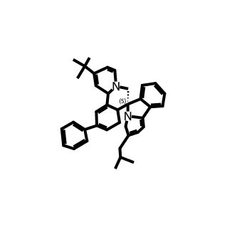 CC(C)CC1=CC=C2c3ccccc3[C@@]3(CN4C=CC(C(C)(C)C)=CC4C4=CC(c5ccccc5)=CCC43)N2C1